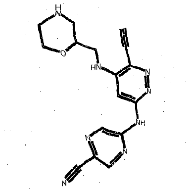 C#Cc1nnc(Nc2cnc(C#N)cn2)cc1NCC1CNCCO1